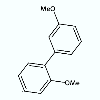 COc1cccc(-c2cc[c]cc2OC)c1